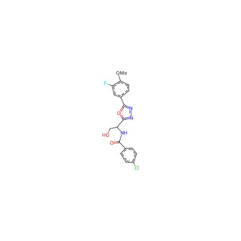 COc1ccc(-c2nnc(C(CO)NC(=O)c3ccc(Cl)cc3)o2)cc1F